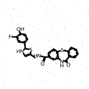 O=C(NCC1=CNC(c2ccc(O)c(F)c2)S1)c1ccc2c(c1)NC(=O)c1ccccc1S2